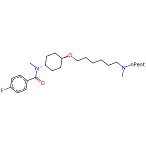 CCCCCN(C)CCCCCCO[C@H]1CC[C@H](N(C)C(=O)c2ccc(F)cc2)CC1